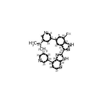 CN(C)c1cncc(-c2cc(F)c3[nH]nc(-c4nc5c(-c6cccnc6)ccnc5[nH]4)c3c2)c1